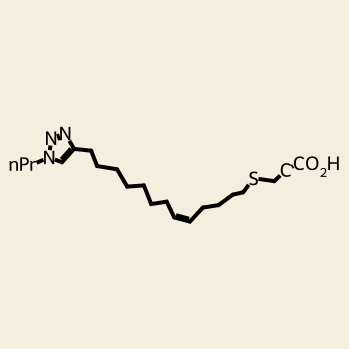 CCCn1cc(CCCCCCC/C=C\CCCCSCCC(=O)O)nn1